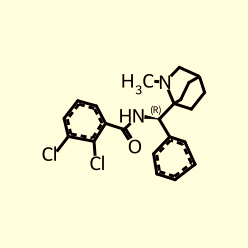 CN1CC2CCC1([C@H](NC(=O)c1cccc(Cl)c1Cl)c1ccccc1)CC2